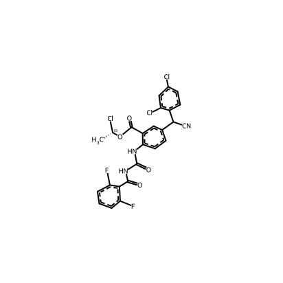 C[C@H](Cl)OC(=O)c1cc(C(C#N)c2ccc(Cl)cc2Cl)ccc1NC(=O)NC(=O)c1c(F)cccc1F